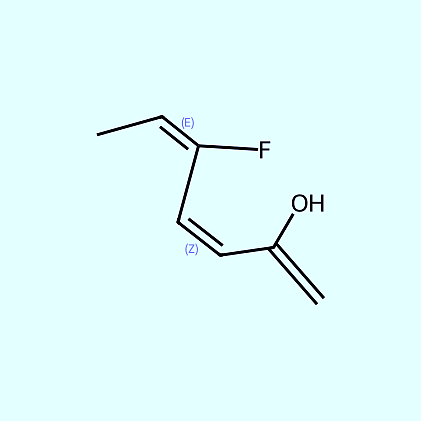 C=C(O)/C=C\C(F)=C/C